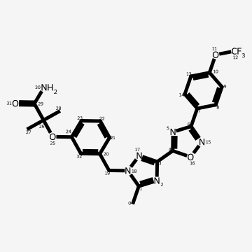 Cc1nc(-c2nc(-c3ccc(OC(F)(F)F)cc3)no2)nn1Cc1cccc(OC(C)(C)C(N)=O)c1